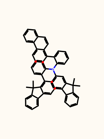 CC1(C)c2ccccc2-c2ccc(N(c3ccccc3-c3cccc4c3C(C)(C)c3ccccc3-4)c3ccccc3-c3cccc4c3ccc3ccccc34)cc21